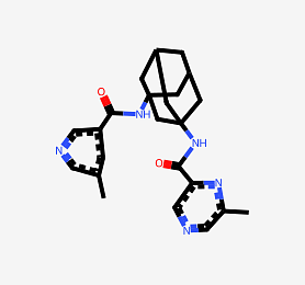 Cc1cncc(C(=O)NC23CC4CC(C2)CC(NC(=O)c2cncc(C)n2)(C4)C3)c1